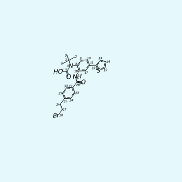 CC(C)(C)N(C(=O)O)c1ccc(-c2cccs2)cc1NC(=O)c1ccc(CCBr)cc1